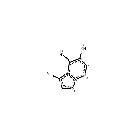 [2H]c1coc2ncc(C#N)c(C(C)C)c12